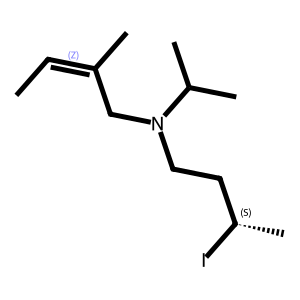 C/C=C(/C)CN(CC[C@H](C)I)C(C)C